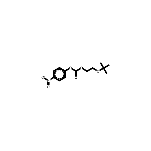 CC(C)(C)OCCOC(=O)Oc1ccc([N+](=O)[O-])cc1